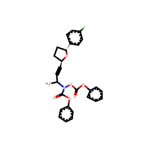 CC(C#C[C@H]1CC[C@H](c2ccc(F)cc2)O1)N(OC(=O)Oc1ccccc1)C(=O)Oc1ccccc1